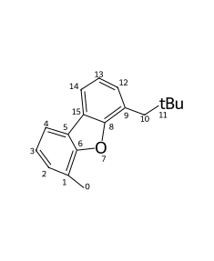 Cc1cccc2c1oc1c(CC(C)(C)C)cccc12